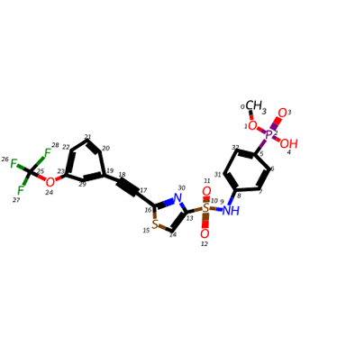 COP(=O)(O)c1ccc(NS(=O)(=O)c2csc(C#Cc3cccc(OC(F)(F)F)c3)n2)cc1